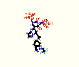 O=c1c(-c2cc(C3C[C@H]3c3ccc4cnn(CC(F)(F)F)c4c3)n3nccc3n2)cn(COP(=O)(O)O)c(=O)n1COP(=O)(O)O